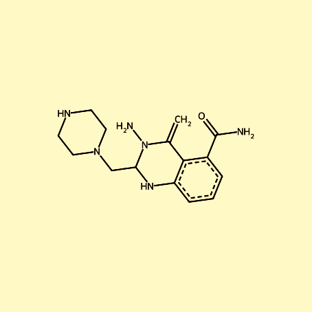 C=C1c2c(cccc2C(N)=O)NC(CN2CCNCC2)N1N